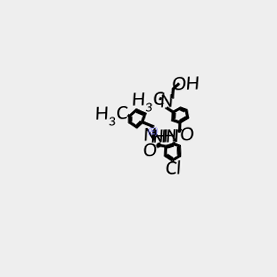 Cc1ccc(/C=N/NC(=O)c2cc(Cl)ccc2NC(=O)c2cccc(CN(C)CCO)c2)cc1